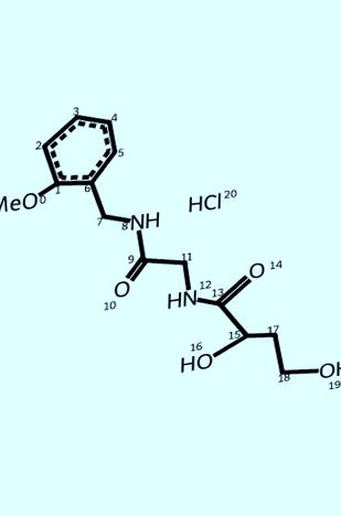 COc1ccccc1CNC(=O)CNC(=O)C(O)CCO.Cl